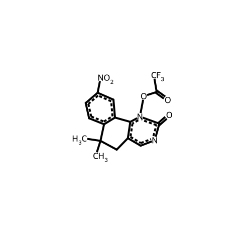 CC1(C)Cc2cnc(=O)n(OC(=O)C(F)(F)F)c2-c2cc([N+](=O)[O-])ccc21